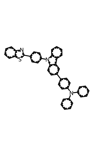 c1ccc(N(c2ccccc2)c2ccc(-c3ccc4c(c3)c3ccccc3n4-c3ccc(-c4nc5ccccc5s4)cc3)cc2)cc1